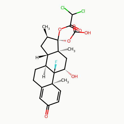 C[C@@H]1C[C@H]2[C@@H]3CCC4=CC(=O)C=C[C@]4(C)[C@@]3(F)[C@@H](O)C[C@]2(C)[C@]1(OC(=O)O)OC(=O)C(Cl)Cl